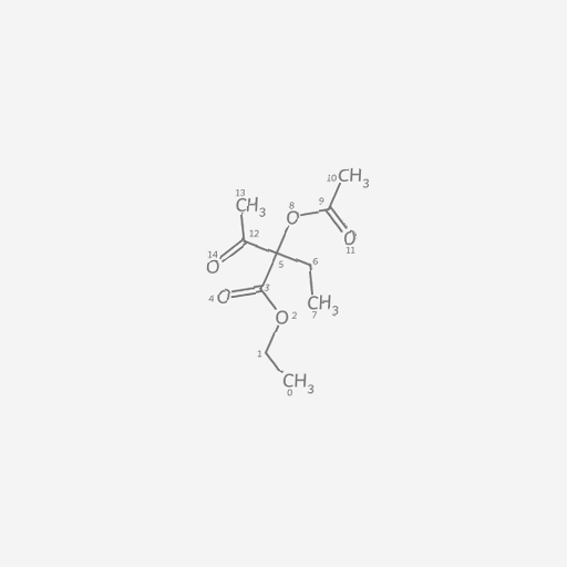 CCOC(=O)C(CC)(OC(C)=O)C(C)=O